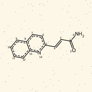 NC(=O)/C=C/c1ccc2ccccc2n1